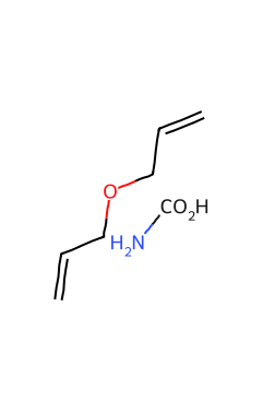 C=CCOCC=C.NC(=O)O